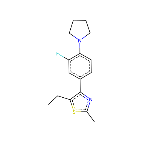 CCc1sc(C)nc1-c1ccc(N2CCCC2)c(F)c1